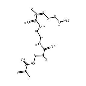 C=C(C)C(=O)OC=C(C)C(=O)OCCOC(=O)C(C)=CCCOCC